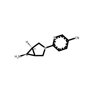 N#Cc1ccc(N2CC3[C@@H](N)[C@H]3C2)nc1